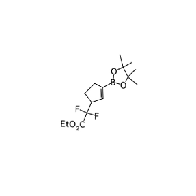 CCOC(=O)C(F)(F)C1C=C(B2OC(C)(C)C(C)(C)O2)CC1